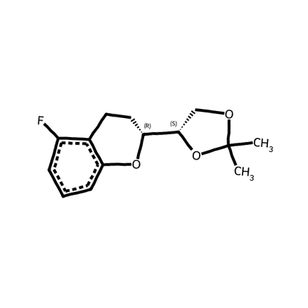 CC1(C)OC[C@@H]([C@H]2CCc3c(F)cccc3O2)O1